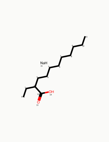 [CH2]CC(CCCCCCCCC)C(=O)O.[NaH]